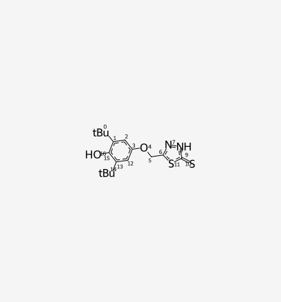 CC(C)(C)c1cc(OCc2n[nH]c(=S)s2)cc(C(C)(C)C)c1O